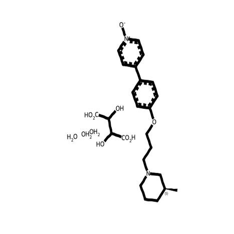 C[C@H]1CCCN(CCCOc2ccc(-c3cc[n+]([O-])cc3)cc2)C1.O.O.O.O=C(O)C(O)C(O)C(=O)O